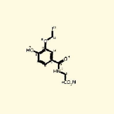 O=C(O)CNC(=O)c1ccc(O)c(OCI)c1